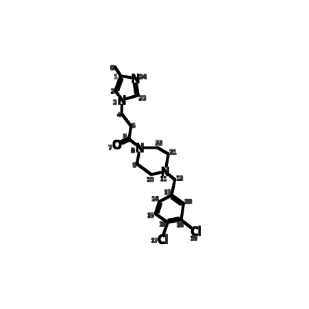 Cc1cn(CCC(=O)N2CCN(Cc3ccc(Cl)c(Cl)c3)CC2)cn1